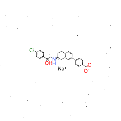 O=C([O-])c1ccc(-c2ccc3c(c2)C[C@@H](NC[C@H](O)c2ccc(Cl)cc2)CC3)cc1.[Na+]